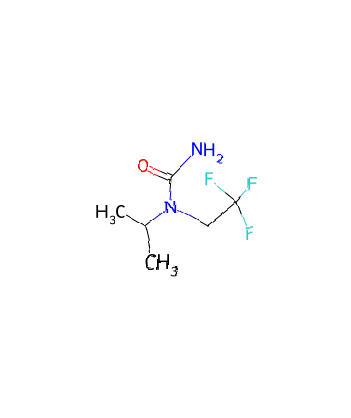 CC(C)N(CC(F)(F)F)C(N)=O